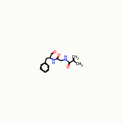 C=C(C)C(=O)NCC(=O)NC([C]=O)Cc1ccccc1